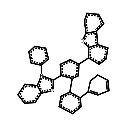 C1=CCCC(c2ccccc2-c2cc(-c3cccc4c3oc3ccccc34)ccc2-c2nc3ccccc3n2-c2ccccc2)=C1